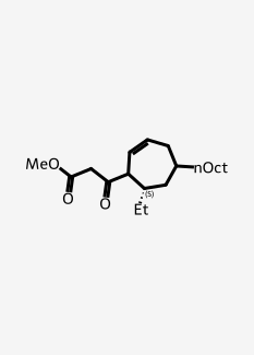 CCCCCCCCC1CC=CC(C(=O)CC(=O)OC)[C@@H](CC)C1